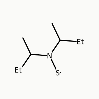 CCC(C)N([S])C(C)CC